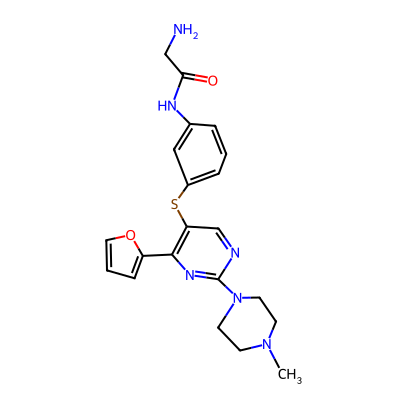 CN1CCN(c2ncc(Sc3cccc(NC(=O)CN)c3)c(-c3ccco3)n2)CC1